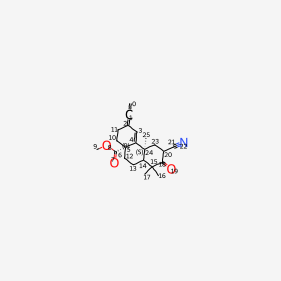 C=C=C1C=C2[C@](C(=O)OC)(CC1)CCC1C(C)(C)C(=O)C(C#N)C[C@]21C